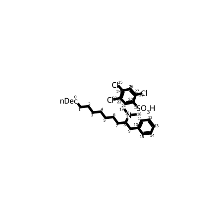 CCCCCCCCCCCCCCCCCC(Cc1ccccc1)N(C)C.O=S(=O)(O)c1cc(Cl)c(Cl)cc1Cl